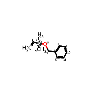 C=C[Si](C)(C)OCc1cc[c]cc1